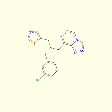 Brc1cccc(CN(Cc2cncs2)Cc2nccn3cnnc23)c1